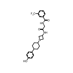 O=C(CNC(=O)c1cccc(C(F)(F)F)c1)NC1CN(C2CCC(c3ccc(O)cc3)CC2)C1